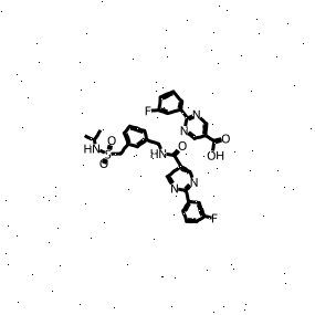 CC(C)NS(=O)(=O)Cc1cccc(CNC(=O)c2cnc(-c3cccc(F)c3)nc2)c1.O=C(O)c1cnc(-c2cccc(F)c2)nc1